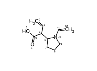 C=CC(C(=O)O)C1CCCN1C=C